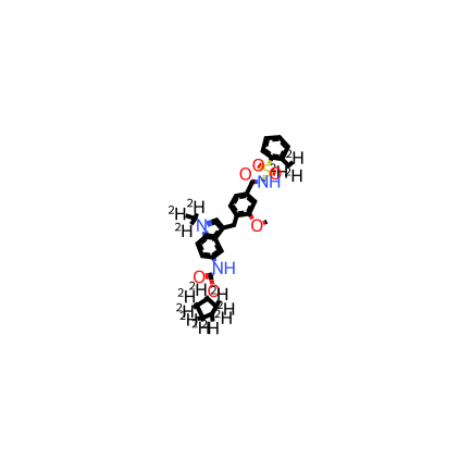 [2H]C([2H])([2H])c1ccccc1S(=O)(=O)NC(=O)c1ccc(Cc2cn(C([2H])([2H])[2H])c3ccc(NC(=O)OC4([2H])C([2H])([2H])C([2H])([2H])C([2H])([2H])C4([2H])[2H])cc23)c(OC)c1